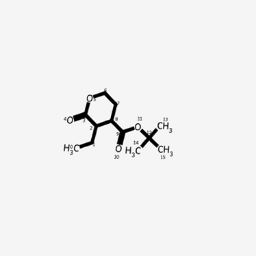 CCC1C(=O)OCCC1C(=O)OC(C)(C)C